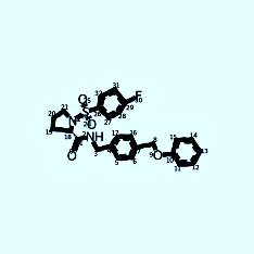 O=C(NCc1ccc(COc2ccccc2)cc1)[C@@H]1CCCN1S(=O)(=O)c1ccc(F)cc1